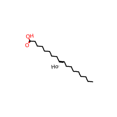 CCCCCCCCC=CCCCCCCCC(=O)O.[Ho]